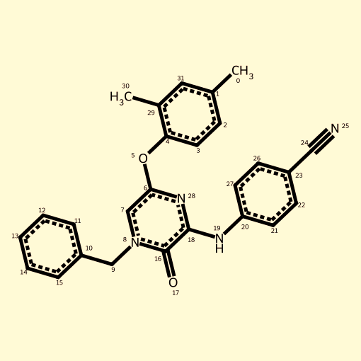 Cc1ccc(Oc2cn(Cc3ccccc3)c(=O)c(Nc3ccc(C#N)cc3)n2)c(C)c1